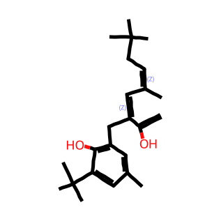 C=C(O)/C(=C\C(C)=C/CC(C)(C)C)Cc1cc(C)cc(C(C)(C)C)c1O